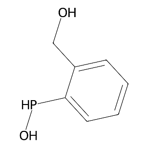 OCc1ccccc1PO